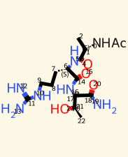 CC(=O)N[C@@H](C)C(=O)N[C@@H](CCCNC(=N)N)C(=O)N[C@H](C(N)=O)[C@@H](C)O